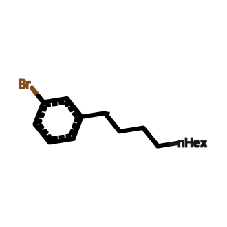 CCCCCCCCC[CH]c1cccc(Br)c1